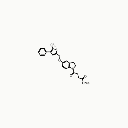 COC(=O)CCC(=O)N1CCc2cc(OCc3cc(-c4ccccc4)c(C(F)(F)F)s3)ccc21